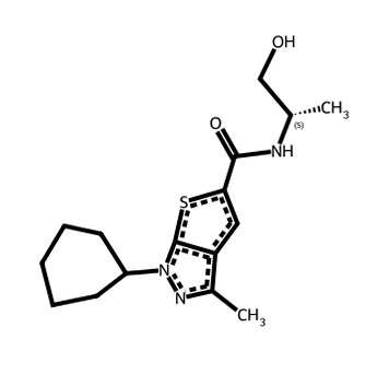 Cc1nn(C2CCCCC2)c2sc(C(=O)N[C@@H](C)CO)cc12